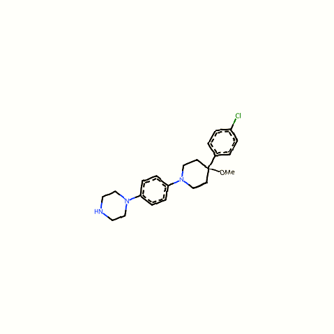 COC1(c2ccc(Cl)cc2)CCN(c2ccc(N3CCNCC3)cc2)CC1